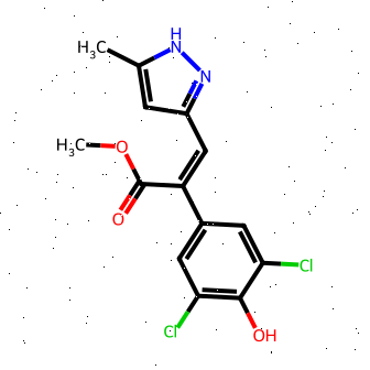 COC(=O)C(=Cc1cc(C)[nH]n1)c1cc(Cl)c(O)c(Cl)c1